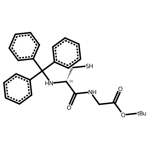 CC(C)(C)OC(=O)CNC(=O)[C@@H](CS)NC(c1ccccc1)(c1ccccc1)c1ccccc1